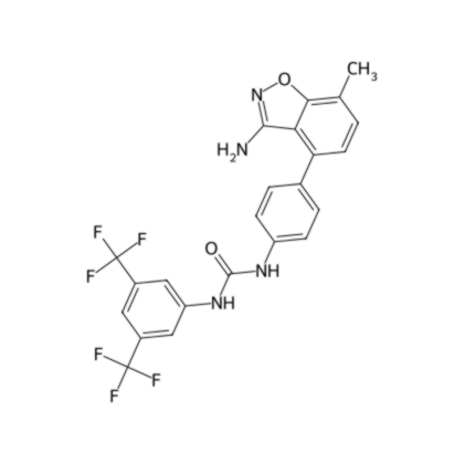 Cc1ccc(-c2ccc(NC(=O)Nc3cc(C(F)(F)F)cc(C(F)(F)F)c3)cc2)c2c(N)noc12